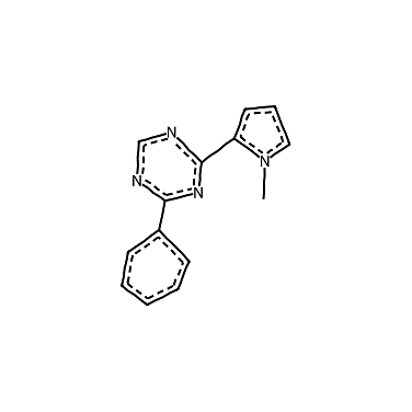 Cn1cccc1-c1ncnc(-c2ccccc2)n1